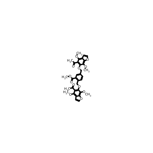 COC(=O)c1cc(COc2c(C(C)=O)c(OC)c3ccoc3c2OC)ccc1COc1c(C(C)=O)c(OC)c2ccoc2c1OC